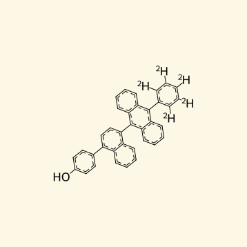 [2H]c1c([2H])c([2H])c(-c2c3ccccc3c(-c3ccc(-c4ccc(O)cc4)c4ccccc34)c3ccccc23)c([2H])c1[2H]